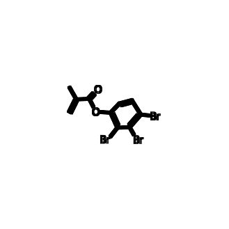 C=C(C)C(=O)Oc1ccc(Br)c(Br)c1Br